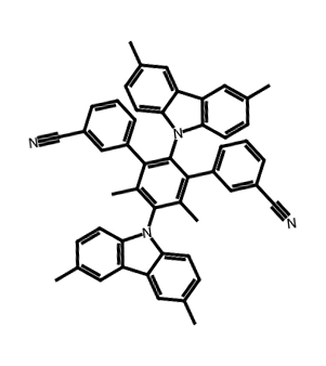 Cc1ccc2c(c1)c1cc(C)ccc1n2-c1c(C)c(-c2cccc(C#N)c2)c(-n2c3ccc(C)cc3c3cc(C)ccc32)c(-c2cccc(C#N)c2)c1C